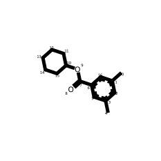 Cc1cc(C)cc(C(=O)OC2CCCCC2)c1